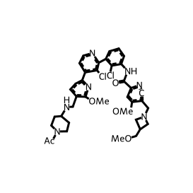 COCC1CN(Cc2cnc(C(=O)Nc3cccc(-c4nccc(-c5ccc(CNC6CCN(C(C)=O)CC6)c(OC)n5)c4Cl)c3Cl)cc2OC)C1